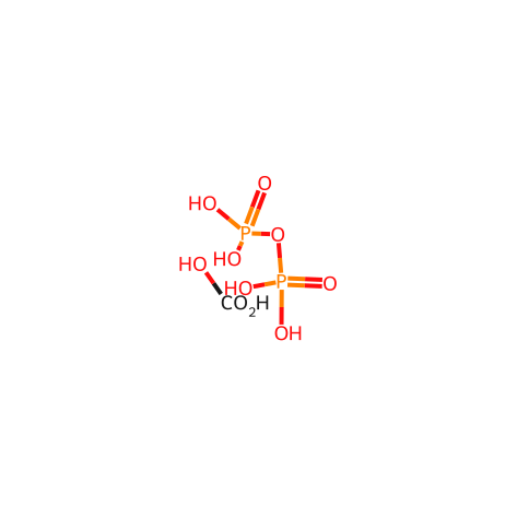 O=C(O)O.O=P(O)(O)OP(=O)(O)O